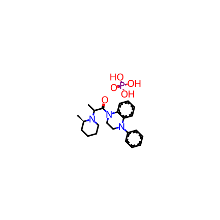 CC(C(=O)N1CCN(c2ccccc2)c2ccccc21)N1CCCC[C@H]1C.O=P(O)(O)O